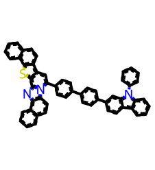 c1ccc(-n2c3ccccc3c3ccc(-c4ccc(-c5ccc(-c6cc7c8ccc9ccccc9c8sc7c7nc8c9ccccc9ccc8n67)cc5)cc4)cc32)cc1